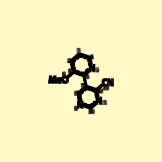 COc1cccnc1-c1[c]ncnc1C#N